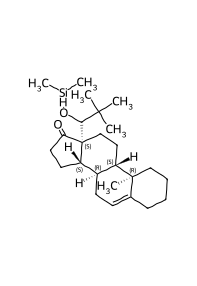 C[SiH](C)OC(C(C)(C)C)[C@]12CC[C@H]3[C@@H](CC=C4CCCC[C@@]43C)[C@@H]1CCC2=O